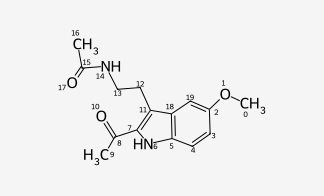 COc1ccc2[nH]c(C(C)=O)c(CCNC(C)=O)c2c1